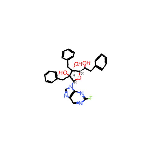 OC(Cc1ccccc1)[C@H]1O[C@@H](n2cnc3cnc(F)nc32)[C@](O)(Cc2ccccc2)[C@@]1(O)Cc1ccccc1